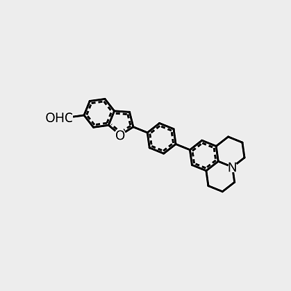 O=Cc1ccc2cc(-c3ccc(-c4cc5c6c(c4)CCCN6CCC5)cc3)oc2c1